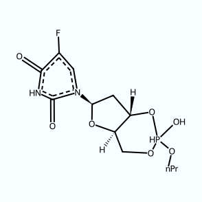 CCCO[PH]1(O)OC[C@H]2O[C@@H](n3cc(F)c(=O)[nH]c3=O)C[C@@H]2O1